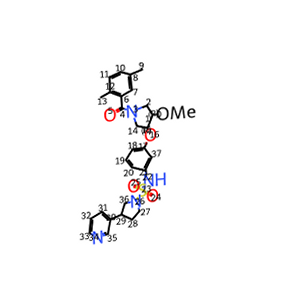 CO[C@@H]1CN(C(=O)c2cc(C)ccc2C)C[C@H]1Oc1cccc(NS(=O)(=O)N2CCC(c3cccnc3)C2)c1